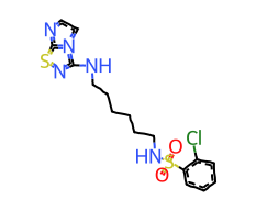 O=S(=O)(NCCCCCCNc1nsc2nccn12)c1ccccc1Cl